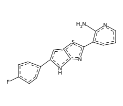 Nc1ncccc1-c1nc2[nH]c(-c3ccc(F)cc3)cc2s1